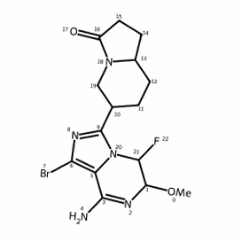 COC1N=C(N)c2c(Br)nc(C3CCC4CCC(=O)N4C3)n2C1F